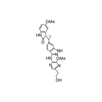 COc1ccc2c(c1)[C@]1(C[C@H]1c1ccc3c(Nc4ncc(CCO)nc4OC)n[nH]c3c1)C(=O)N2